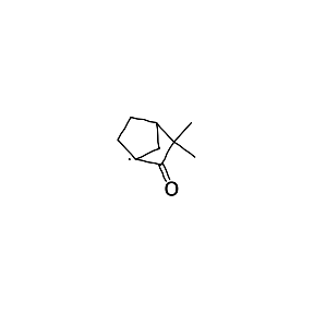 CC1(C)C(=O)[C]2CCC1C2